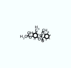 COc1ccccc1S(=O)(=O)Oc1cc(C)cc(OC(C)O)c1